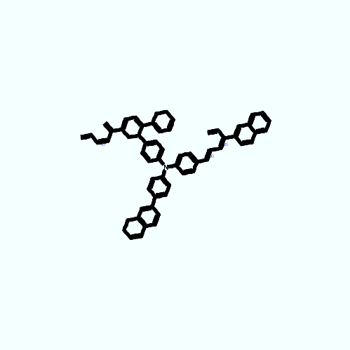 C=C/C=C\C(=C)C1=CC=C(C2=CC=CCC2)C(c2ccc(N(c3ccc(/C=C/C=C(\C=C)c4ccc5ccccc5c4)cc3)c3ccc(-c4ccc5c(c4)CCC=C5)cc3)cc2)C1